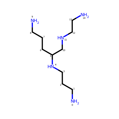 NCCCNC(CCCN)CNCCN